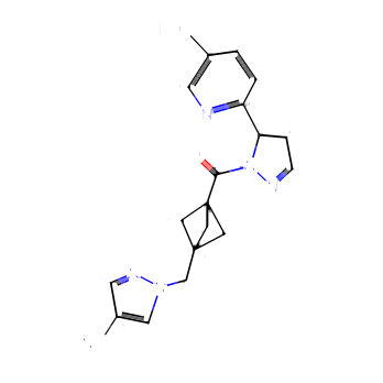 Cc1ccc(C2CC=NN2C(=O)C23CC(Cn4cc(C#N)cn4)(C2)C3)nc1